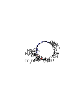 CCOC(=O)CNC(=O)[C@H]1[C@@H]2C[C@@H](O[C@@H]3O[C@H](C)[C@@H](O)[C@H](N)[C@@H]3O)/C=C/C=C/C=C/C=C/C=C/C=C/C=C/[C@H](C)[C@@H](O)[C@@H](C)[C@H](C)OC(=O)C[C@H](O)C[C@H](O)CC[C@@H](O)[C@H](O)C[C@H](O)C[C@](O)(C[C@@H]1O)O2